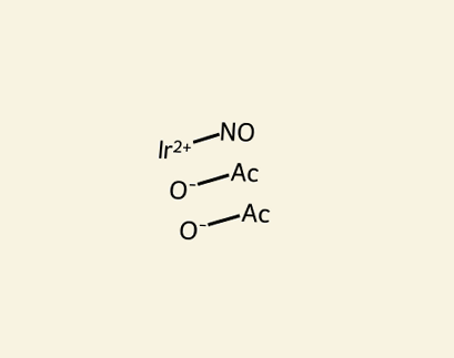 CC(=O)[O-].CC(=O)[O-].O=[N][Ir+2]